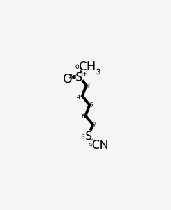 C[S+]([O-])CCCCCSC#N